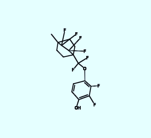 CC12CCC(C(F)(F)Oc3ccc(O)c(F)c3F)(CC1)C(F)(F)C2(F)F